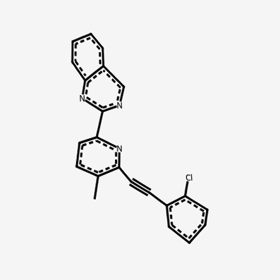 Cc1ccc(-c2ncc3ccccc3n2)nc1C#Cc1ccccc1Cl